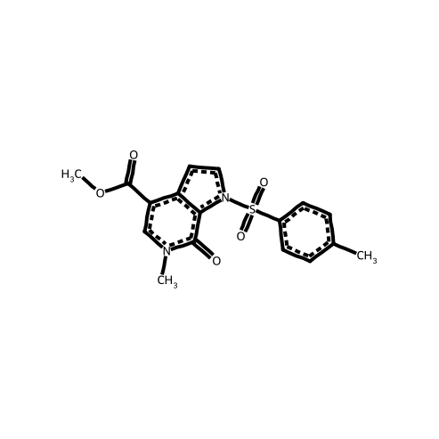 COC(=O)c1cn(C)c(=O)c2c1ccn2S(=O)(=O)c1ccc(C)cc1